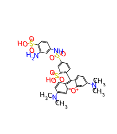 CN(C)c1ccc2c(-c3ccc(S(=O)(=O)Nc4ccc(S(=O)(=O)O)c(N)c4)cc3S(=O)(=O)O)c3ccc(N(C)C)cc3[o+]c2c1